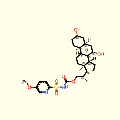 CC(C)Oc1ccc(S(=O)(=O)NC(=O)OC[C@@H](C)[C@H]2CC[C@H]3[C@@H]4[C@H](O)C[C@@H]5C[C@@H](O)CC[C@]5(C)[C@H]4CC[C@]23C)nc1